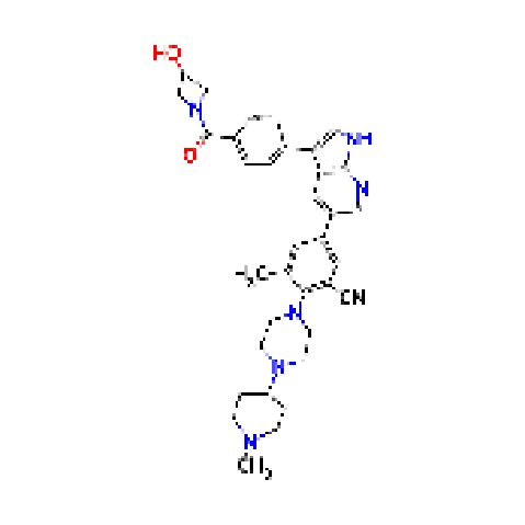 Cc1cc(-c2cnc3[nH]cc(-c4ccc(C(=O)N5CC(O)C5)cc4)c3c2)cc(C#N)c1N1CCN(C2CCN(C)CC2)CC1